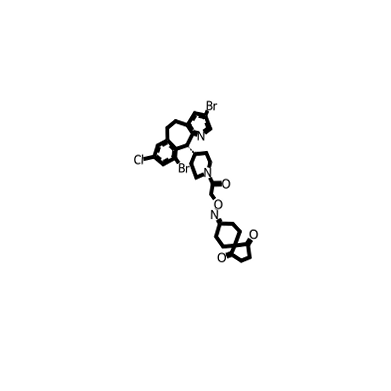 O=C(CON=C1CCC2(CC1)C(=O)CCC2=O)N1CCC([C@H]2c3ncc(Br)cc3CCc3cc(Cl)cc(Br)c32)CC1